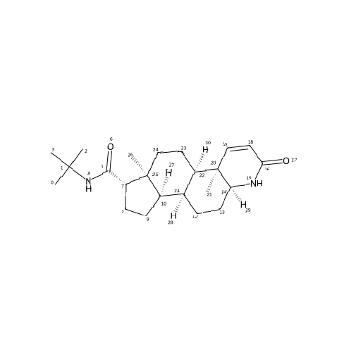 CC(C)(C)NC(=O)[C@H]1CC[C@@H]2[C@@H]3CC[C@@H]4NC(=O)C=C[C@]4(C)[C@@H]3CC[C@]12C